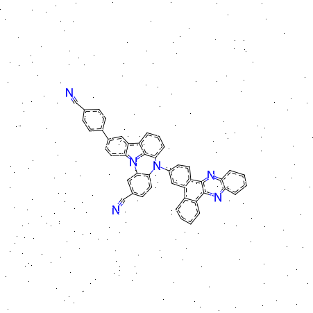 N#Cc1ccc(-c2ccc3c(c2)c2cccc4c2n3-c2cc(C#N)ccc2N4c2ccc3c(c2)c2ccccc2c2nc4ccccc4nc32)cc1